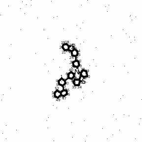 c1cc(-c2ccc(N(c3ccc(-c4ccc5sc6ccccc6c5c4)cc3)c3cccc4sc5ccccc5c34)cc2)cc(-c2cccc3ccccc23)c1